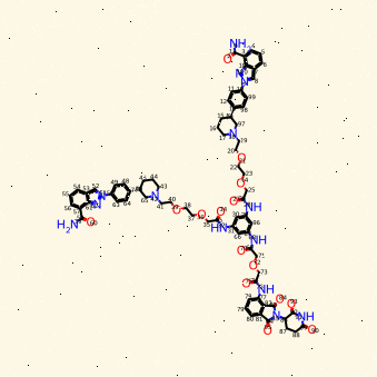 NC(=O)c1cccc2cn(-c3ccc([C@@H]4CCCN(CCOCCOCC(=O)Nc5cc(NC(=O)COCCOCCN6CCC[C@@H](c7ccc(-n8cc9cccc(C(N)=O)c9n8)cc7)C6)cc(NC(=O)COCC(=O)Nc6cccc7c6C(=O)N(C6CCC(=O)NC6=O)C7=O)c5)C4)cc3)nc12